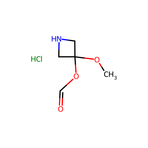 COC1(OC=O)CNC1.Cl